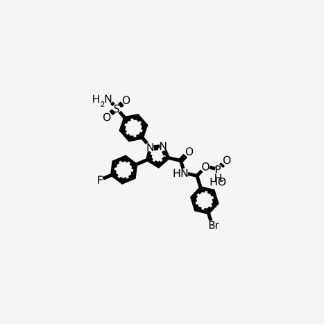 NS(=O)(=O)c1ccc(-n2nc(C(=O)NC(O[PH](=O)O)c3ccc(Br)cc3)cc2-c2ccc(F)cc2)cc1